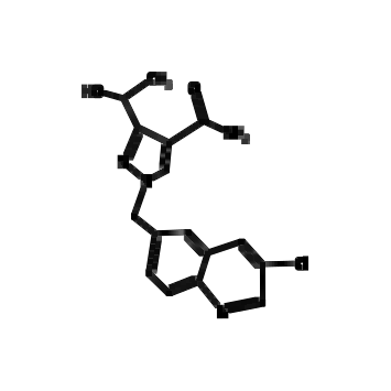 CC(O)c1nn(Cc2ccc3ncc(Cl)cc3c2)cc1C(N)=O